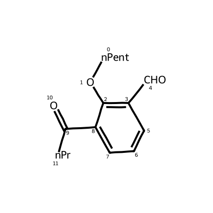 CCCCCOc1c(C=O)cccc1C(=O)CCC